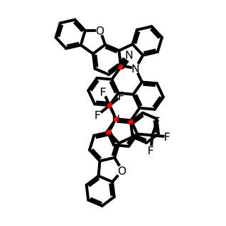 N#Cc1cccc(-n2c3ccccc3c3c4oc5ccccc5c4ccc32)c1-c1c(-c2c(C(F)(F)F)cccc2C(F)(F)F)cccc1-n1c2ccccc2c2c3oc4ccccc4c3ccc21